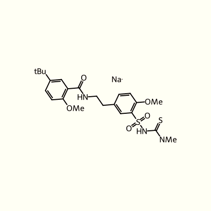 CNC(=S)NS(=O)(=O)c1cc(CCNC(=O)c2cc(C(C)(C)C)ccc2OC)ccc1OC.[Na]